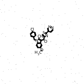 COc1ccc2c(c1)c(C(=O)c1csc(-c3ccnnc3)n1)c(C)n2Cc1ccc(Cl)cc1